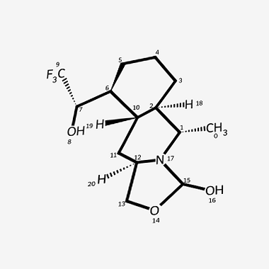 C[C@H]1[C@@H]2CCC[C@H]([C@H](O)C(F)(F)F)[C@H]2C[C@@H]2COC(O)N21